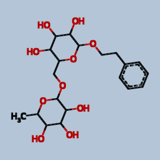 CC1OC(OCC2OC(OCCc3ccccc3)C(O)C(O)C2O)C(O)C(O)C1O